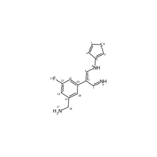 N=C/C(=C\Nc1ccsc1)c1cc(F)cc(CN)c1